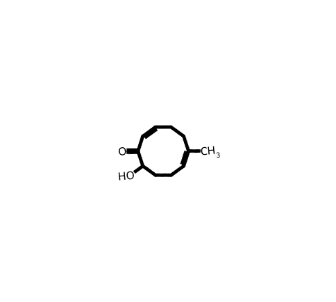 CC1=CCCC(O)C(=O)C=CCC1